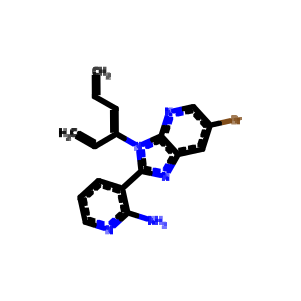 C=C/C=C(\C=C)n1c(-c2cccnc2N)nc2cc(Br)cnc21